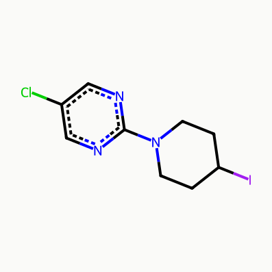 Clc1cnc(N2CCC(I)CC2)nc1